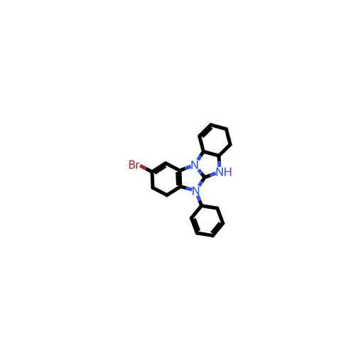 BrC1=CC2=C(CC1)N(C1C=CC=CC1)C1NC3CCC=CC3N21